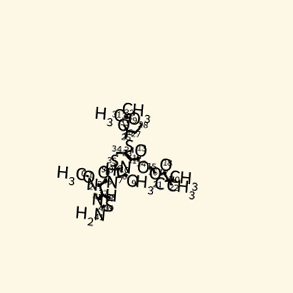 CO/N=C(\C(=O)NC1C(=O)N2C(C(=O)OCOC(=O)C(C)(C)C)=C(SCC3CCOC(C)(C)O3)CS[C@H]12)c1csc(N)n1